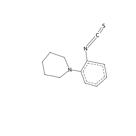 S=C=Nc1ccccc1N1CCCCC1